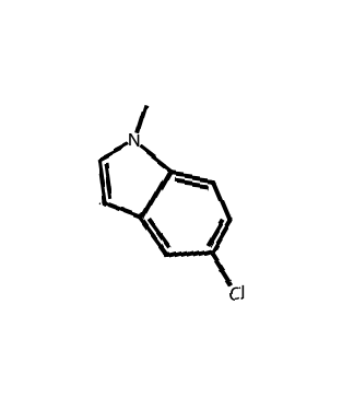 Cn1c[c]c2cc(Cl)ccc21